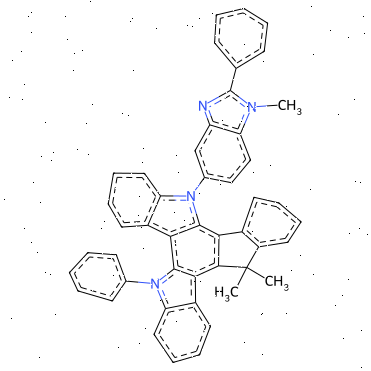 Cn1c(-c2ccccc2)nc2cc(-n3c4ccccc4c4c3c3c(c5c6ccccc6n(-c6ccccc6)c54)C(C)(C)c4ccccc4-3)ccc21